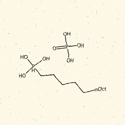 CCCCCCCCCCCCC[PH](O)(O)O.O=P(O)(O)O